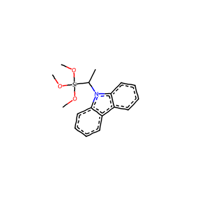 CO[Si](OC)(OC)C(C)n1c2ccccc2c2ccccc21